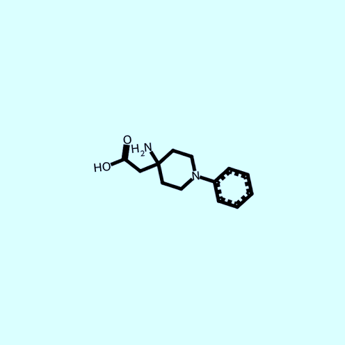 NC1(CC(=O)O)CCN(c2ccccc2)CC1